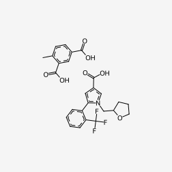 Cc1ccc(C(=O)O)cc1C(=O)O.O=C(O)c1cc(-c2ccccc2C(F)(F)F)n(CC2CCCO2)c1